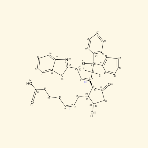 CC(C)(C)[Si](O[C@H](/C=C/[C@H]1C(=O)C[C@H](O)[C@@H]1C/C=C\CCCC(=O)O)c1nc2ccccc2s1)(c1ccccc1)c1ccccc1